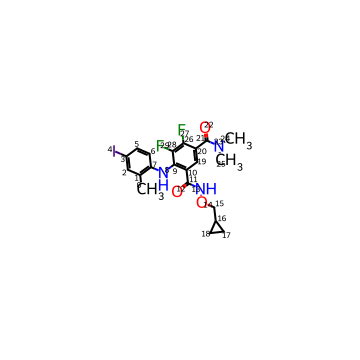 Cc1cc(I)ccc1Nc1c(C(=O)NOCC2CC2)cc(C(=O)N(C)C)c(F)c1F